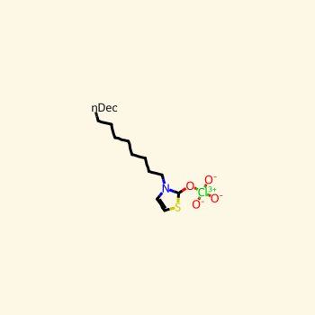 CCCCCCCCCCCCCCCCCCN1C=CSC1O[Cl+3]([O-])([O-])[O-]